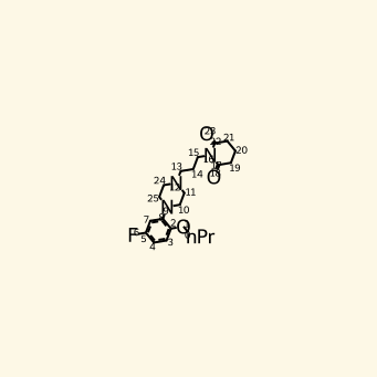 CCCOc1ccc(F)cc1N1CCN(CCCN2C(=O)CCCC2=O)CC1